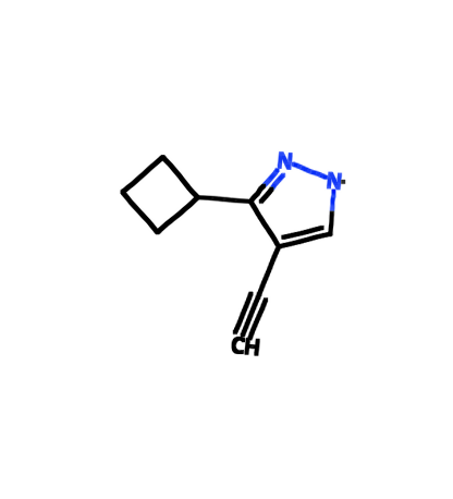 C#CC1=C[N]N=C1C1CCC1